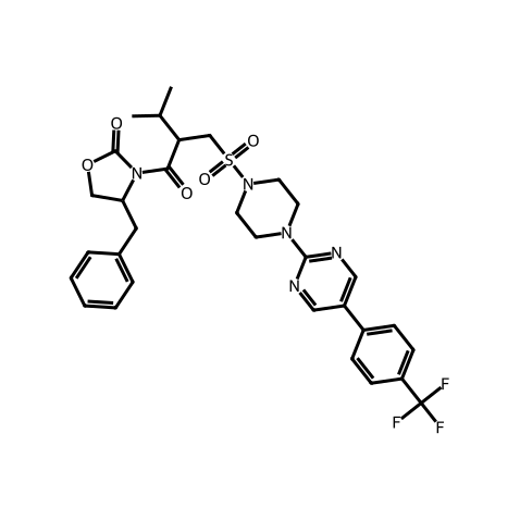 CC(C)C(CS(=O)(=O)N1CCN(c2ncc(-c3ccc(C(F)(F)F)cc3)cn2)CC1)C(=O)N1C(=O)OCC1Cc1ccccc1